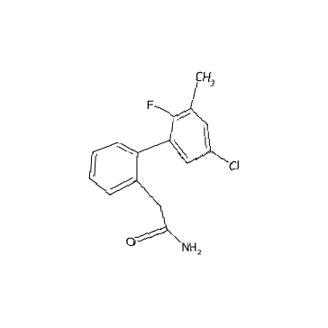 Cc1cc(Cl)cc(-c2ccccc2CC(N)=O)c1F